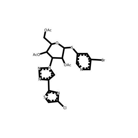 CC(=O)OCC1OC(Sc2cncc(Br)c2)C(OC(C)=O)C(n2cc(-c3nc(Cl)cs3)nn2)C1OC(C)=O